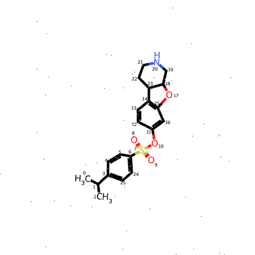 CC(C)c1ccc(S(=O)(=O)Oc2ccc3c(c2)OC2CNCCC32)cc1